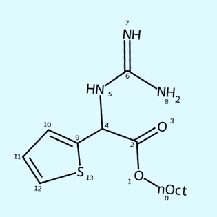 CCCCCCCCOC(=O)C(NC(=N)N)c1cccs1